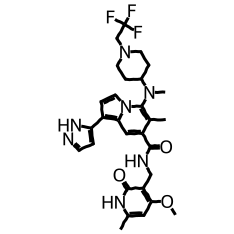 COc1cc(C)[nH]c(=O)c1CNC(=O)c1cc2c(-c3ccn[nH]3)ccn2c(N(C)C2CCN(CC(F)(F)F)CC2)c1C